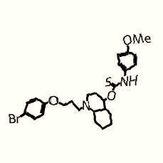 COc1ccc(NC(=S)OC2CCN(CCCOc3ccc(Br)cc3)C3CCCCC23)cc1